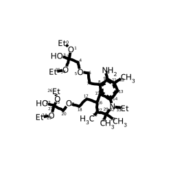 CCOC(O)(COCCc1c(N)c(C)cc2c1C(CCOCC(O)(OCC)OCC)C(C)C(C)(C)N2CC)OCC